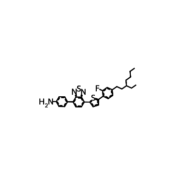 CCCCC(CC)CCc1ccc(-c2ccc(-c3ccc(-c4ccc(N)cc4)c4nsnc34)s2)c(F)c1